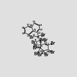 BrC1=C(Br)C(Br)(C(Br)(Br)C(Br)(Br)c2cccc3ccccc23)C(Br)(Br)C(Br)(Br)C1Br